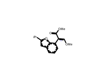 CO/C=C(/C(=O)OC)c1cccc2cc(C(C)C)oc12